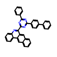 c1ccc(-c2ccc(-c3nc(-c4ccccc4)nc(-c4nc5ccccc5c5cc6ccccc6cc45)n3)cc2)cc1